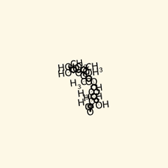 C[C@@H]1C[C@H](O)C(OC2C[C@H](O)C(O)[C@@H](C)O2)C(O[C@H]2[C@@H](O)C[C@H](O[C@H]3CC[C@]4(C)C5CC[C@]6(C)[C@@H](C7=CC(=O)OC7)[C@@H](O)C[C@]6(O)[C@@H]5CC[C@@H]4C3)O[C@@H]2C)O1